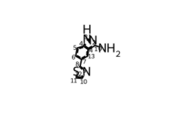 Nc1n[nH]c2ccc(-c3nccs3)cc12